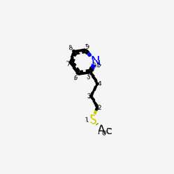 CC(=O)SCCCc1ccccn1